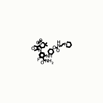 CC1(C)Cc2c(c3c(n2-c2cc(F)c(C(N)=O)c(N[C@H]4CC[C@H](OC(=O)NCCN5CCCCC5)CC4)c2)COC3)S(=O)(=O)C1